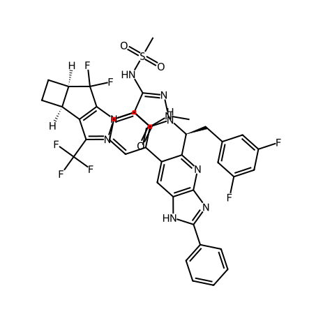 Cn1nc(NS(C)(=O)=O)c2cccc(-c3cc4[nH]c(-c5ccccc5)nc4nc3[C@H](Cc3cc(F)cc(F)c3)NC(=O)Cn3nc(C(F)(F)F)c4c3C(F)(F)[C@@H]3CC[C@H]43)c21